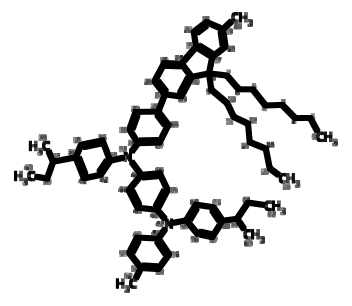 CCCCCCCCC1(CCCCCCCC)c2cc(C)ccc2-c2ccc(-c3ccc(N(c4ccc(C(C)CC)cc4)c4ccc(N(c5ccc(C)cc5)c5ccc(C(C)CC)cc5)cc4)cc3)cc21